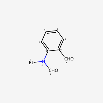 CCN(C=O)c1ccccc1C=O